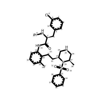 CC(C)N[C@@H](Cc1cccc(Cl)c1)C(=O)Nc1cccc(F)c1CC[C@H]1CNC[C@@H](C)N1S(=O)(=O)c1ccccc1